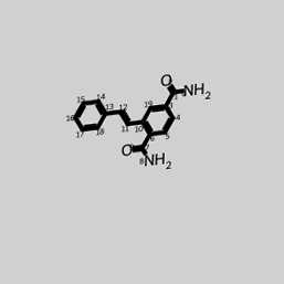 NC(=O)c1ccc(C(N)=O)c(C=Cc2ccccc2)c1